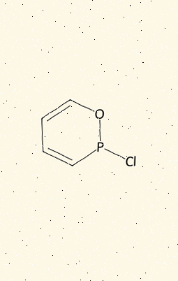 ClP1C=CC=CO1